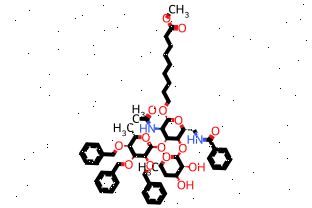 COC(=O)CCCCCCCCO[C@@H]1O[C@H](CNC(=O)c2ccccc2)[C@@H](O[C@@H]2O[C@H](C)C[C@H](O)[C@H]2O)[C@H](O[C@@H]2O[C@@H](C)[C@@H](OCc3ccccc3)[C@@H](OCc3ccccc3)[C@@H]2OCc2ccccc2)[C@H]1NC(C)=O